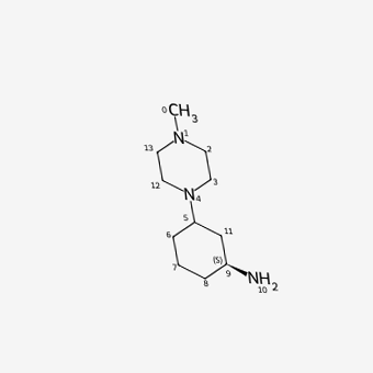 CN1CCN(C2CCC[C@H](N)C2)CC1